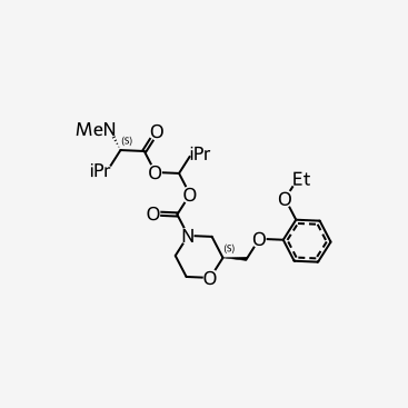 CCOc1ccccc1OC[C@@H]1CN(C(=O)OC(OC(=O)[C@@H](NC)C(C)C)C(C)C)CCO1